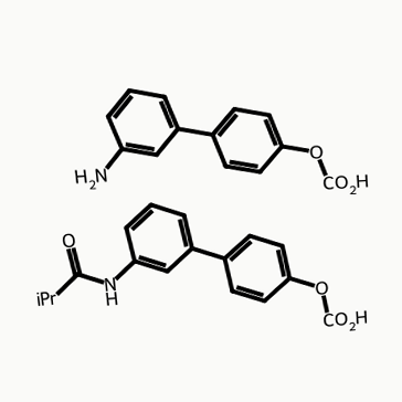 CC(C)C(=O)Nc1cccc(-c2ccc(OC(=O)O)cc2)c1.Nc1cccc(-c2ccc(OC(=O)O)cc2)c1